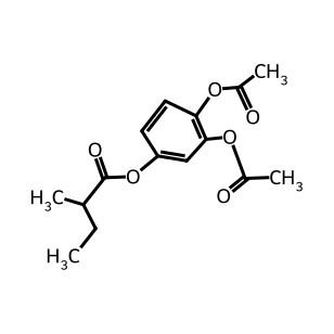 CCC(C)C(=O)Oc1ccc(OC(C)=O)c(OC(C)=O)c1